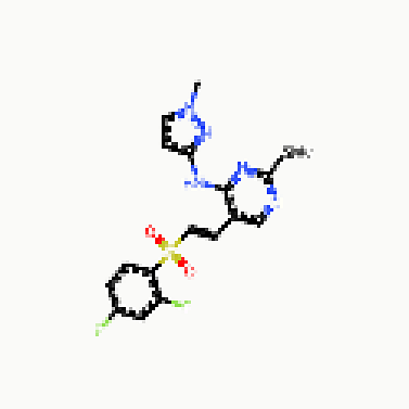 CSc1ncc(C=CS(=O)(=O)c2ccc(F)cc2F)c(Nc2ccn(C)n2)n1